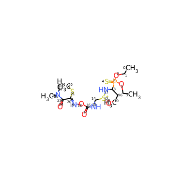 CCOP(=S)(OCC)C(CC)N[S+]([O-])CNC(=O)ON=C(SC)C(=O)N(C)C